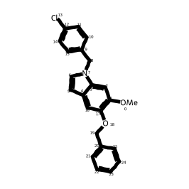 COc1cc2c(ccn2Cc2ccc(Cl)cc2)cc1OCc1ccccc1